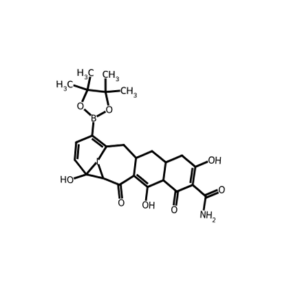 CC1(C)OB(C2=C3CC4CC5CC(O)=C(C(N)=O)C(=O)C5C(O)=C4C(=O)C4I3C4(O)C=C2)OC1(C)C